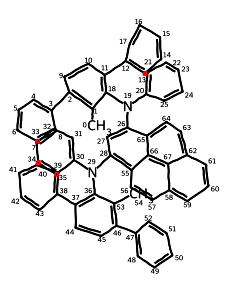 Cc1c(-c2ccccc2)ccc(-c2ccccc2)c1N(c1ccccc1)c1cc(N(c2ccccc2)c2c(-c3ccccc3)ccc(-c3ccccc3)c2C)c2ccc3cccc4ccc1c2c43